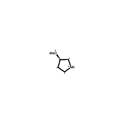 CO[C@@H]1[CH]CNC1